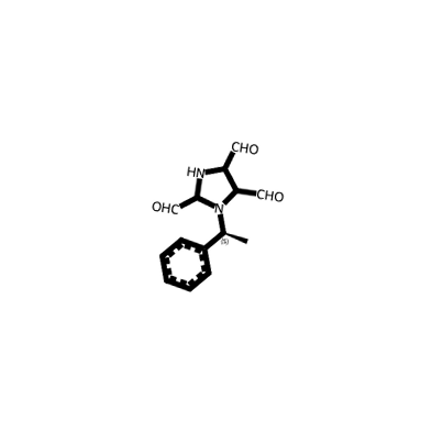 C[C@@H](c1ccccc1)N1C(C=O)NC(C=O)C1C=O